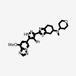 COc1cc(-c2[nH]nc(-c3nc4c(s3)CC(N(C)C3CCOCC3)CC4)c2C(C)C)cn2ncnc12